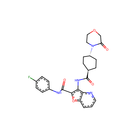 O=C(Nc1ccc(F)cc1)c1oc2cccnc2c1NC(=O)[C@H]1CC[C@H](N2CCOCC2=O)CC1